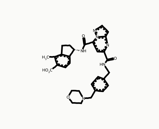 Cc1c(C(=O)O)ccc2c1CC[C@@H]2NC(=O)c1cc(C(=O)NCc2ccc(CN3CCOCC3)cc2)nc2ccnn12